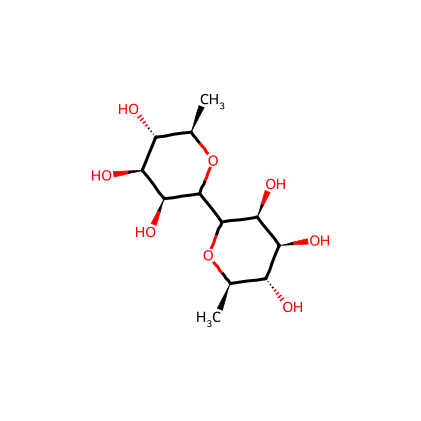 C[C@H]1O[C](C2O[C@H](C)[C@@H](O)[C@H](O)[C@@H]2O)[C@@H](O)[C@@H](O)[C@@H]1O